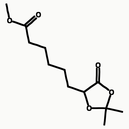 COC(=O)CCCCCC1OC(C)(C)OC1=O